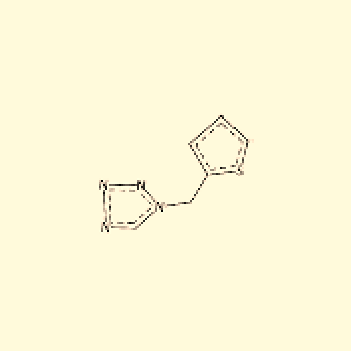 [c]1ccc(Cn2cnnn2)s1